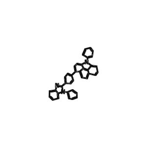 c1ccc(-n2c(-c3ccc(-c4ccc5c6c4ccc4cccc(c46)n5-c4ccccc4)cc3)nc3ccccc32)cc1